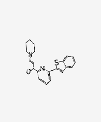 O=C(C=CN1CCCCC1)c1cccc(-c2cc3ccccc3s2)n1